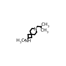 CNC1CC2(CCN(CC(C)C)CC2)C1